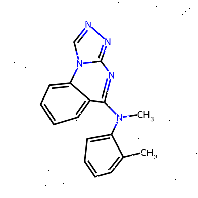 Cc1ccccc1N(C)c1nc2nncn2c2ccccc12